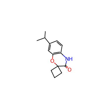 CC(C)c1ccc2c(c1)OC1(CCC1)C(=O)N2